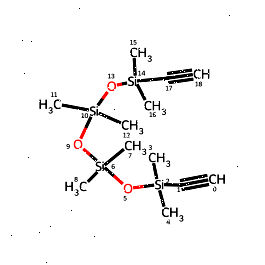 C#C[Si](C)(C)O[Si](C)(C)O[Si](C)(C)O[Si](C)(C)C#C